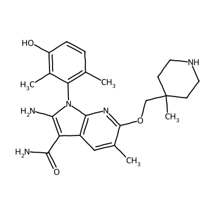 Cc1cc2c(C(N)=O)c(N)n(-c3c(C)ccc(O)c3C)c2nc1OCC1(C)CCNCC1